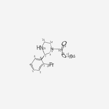 CC(C)c1ccccc1[C@@H]1CN(C(=O)OC(C)(C)C)CCN1